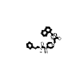 O=C(NCCc1ccccc1)NC1CCN(C=C2N=C(c3cccc4ccccc34)OC2=O)CC1